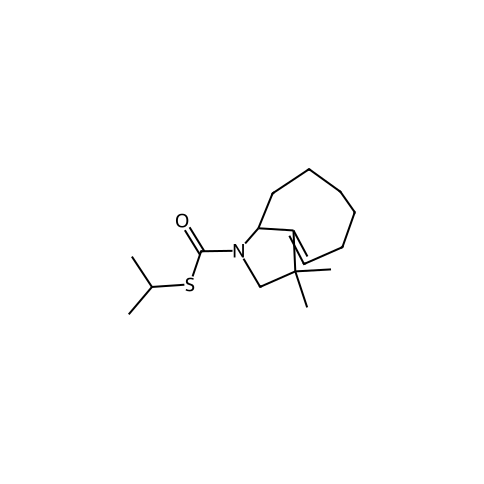 CC(C)SC(=O)N1CC(C)(C)/C2=C\CCCCCC21